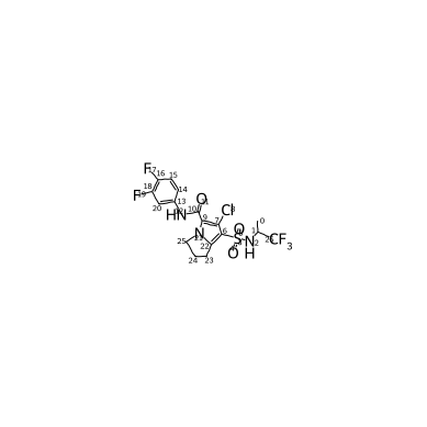 CC(NS(=O)(=O)c1c(Cl)c(C(=O)Nc2ccc(F)c(F)c2)n2c1CCC2)C(F)(F)F